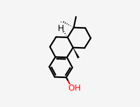 [CH2][C@]1(C)CCC[C@]2(C)c3cc(O)ccc3CC[C@@H]12